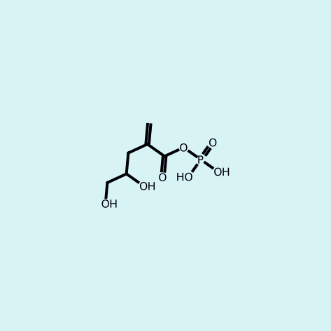 C=C(CC(O)CO)C(=O)OP(=O)(O)O